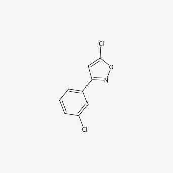 Clc1cccc(-c2cc(Cl)on2)c1